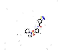 N#CN(C1=CCCC=C1)S(=O)(=O)c1cccc(NC(=O)c2ccc3snnc3c2)c1